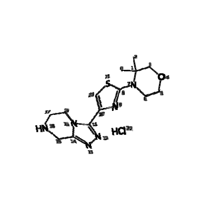 CC1(C)COCCN1c1nc(-c2nnc3n2CCNC3)cs1.Cl